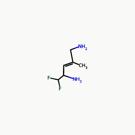 C/C(=C\C(N)C(F)F)CN